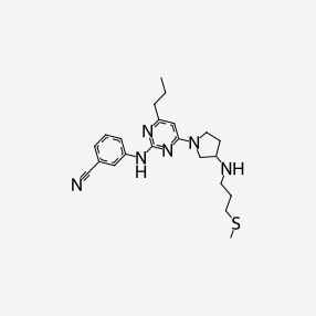 CCCc1cc(N2CCC(NCCCSC)C2)nc(Nc2cccc(C#N)c2)n1